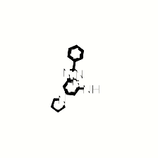 Nc1cc(N2CCCC2)cc2nc(-c3ccccc3)nn12